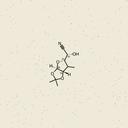 CC1[C@@H]2OC(C)(C)O[C@H]2O[C@@H]1[C@@H](O)C#N